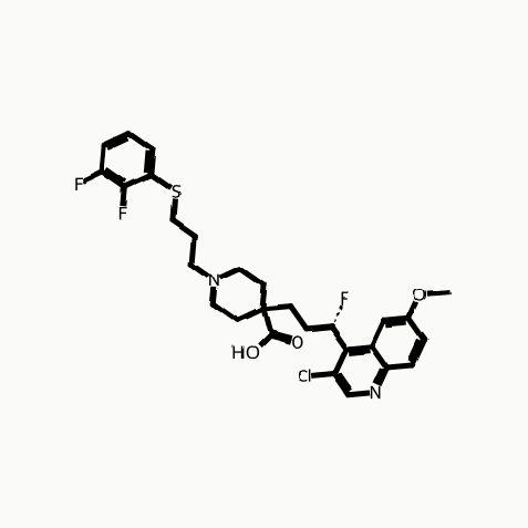 COc1ccc2ncc(Cl)c([C@@H](F)CCC3(C(=O)O)CCN(CCCSc4cccc(F)c4F)CC3)c2c1